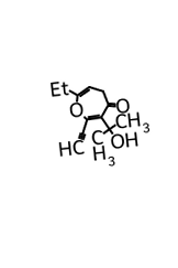 C#CC1=C(C(C)(C)O)C(=O)CC=C(CC)O1